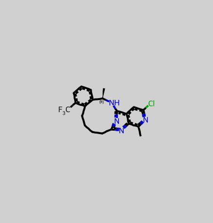 Cc1nc(Cl)cc2c3nc(nc12)CCCCc1c(cccc1C(F)(F)F)[C@@H](C)N3